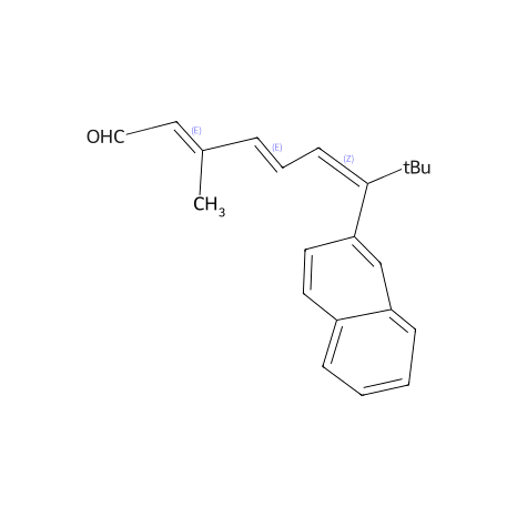 CC(/C=C/C=C(\c1ccc2ccccc2c1)C(C)(C)C)=C\C=O